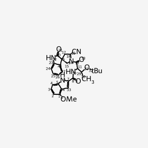 COc1cccc2[nH]c(C(=O)NC(C(=O)N3C[C@]4(C[C@H]3C#N)C(=O)Nc3ccccc34)C(C)OC(C)(C)C)cc12